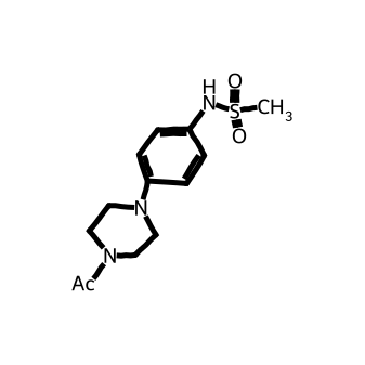 CC(=O)N1CCN(c2ccc(NS(C)(=O)=O)cc2)CC1